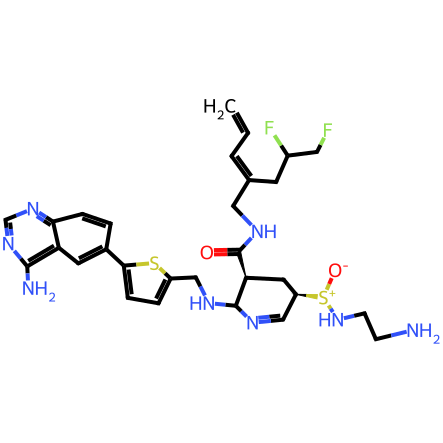 C=C/C=C(/CNC(=O)[C@H]1C[C@@H]([S+]([O-])NCCN)C=NC1NCc1ccc(-c2ccc3ncnc(N)c3c2)s1)CC(F)CF